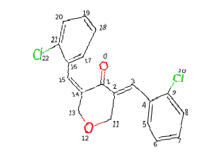 O=C1C(=Cc2ccccc2Cl)COCC1=Cc1ccccc1Cl